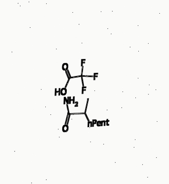 CCCCCC(C)C(N)=O.O=C(O)C(F)(F)F